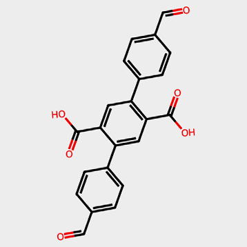 O=Cc1ccc(-c2cc(C(=O)O)c(-c3ccc(C=O)cc3)cc2C(=O)O)cc1